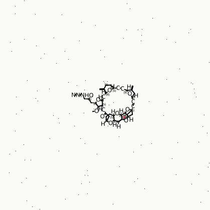 C=C1C[C@@H]2CC[C@@]34C[C@H]5OC6[C@@H](O[C@H]7CC[C@H](CC(=O)C[C@@H]8[C@@H](OC)[C@@H](C[C@H](O)CN=[N+]=[N-])O[C@H]8C[C@H]8O[C@@H](CC[C@@H]1O2)C[C@@H](C)C8=C)O[C@@H]7[C@@H]6O3)[C@H]5O4